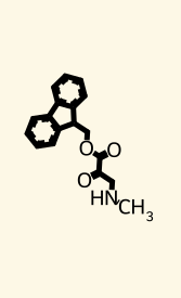 CNCC(=O)C(=O)OCC1c2ccccc2-c2ccccc21